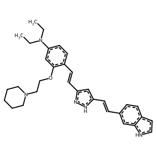 CCN(CC)c1ccc(C=Cc2cc(C=Cc3ccc4cc[nH]c4c3)[nH]n2)c(OCCN2CCCCC2)c1